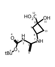 C=C(NC(=O)OC(C)(C)C)NC1CC(O)(C(=O)O)C1